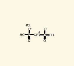 CCP(=O)(O)O.CCP(=O)(O)O.Cl